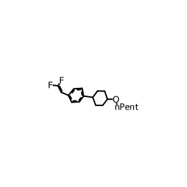 CCCCCOC1CCC(c2ccc(C=C(F)F)cc2)CC1